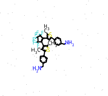 Cc1sc(-c2ccc(CN)cc2)cc1C1=C(c2c(C)sc(-c3ccc(CN)cc3)c2C)C(F)(F)C(F)(F)C1(F)F